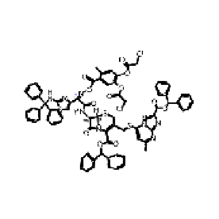 Cc1cc(SCC2=C(C(=O)OC(c3ccccc3)c3ccccc3)N3C(=O)[C@@H](NC(=O)/C(=N\OC(=O)c4cc(OC(=O)CCl)c(OC(=O)CCl)cc4C)c4csc(NC(c5ccccc5)(c5ccccc5)c5ccccc5)n4)[C@H]3SC2)n2nc(C(=O)OC(c3ccccc3)c3ccccc3)nc2n1